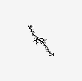 CCC(C)C(C)(C#CC(C)(OCCOCCCO)C(C)CC)OCCOCCCO